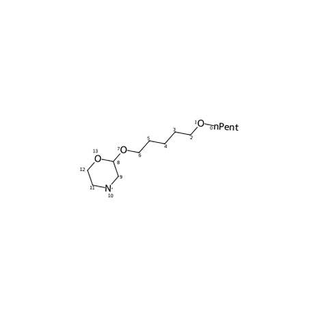 CCCCCOCCCCCOC1C[N]CCO1